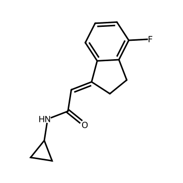 O=C(C=C1CCc2c(F)cccc21)NC1CC1